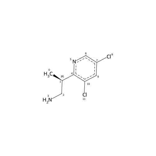 C[C@H](CN)c1ncc(Cl)cc1Cl